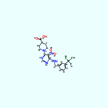 O=C(O)C1CCN(c2ncnc(NCc3cccc(C(F)(F)F)c3)c2[N+](=O)[O-])CC1